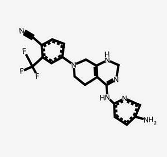 N#Cc1ccc(N2CCC3=C(C2)NCN=C3Nc2ccc(N)cn2)cc1C(F)(F)F